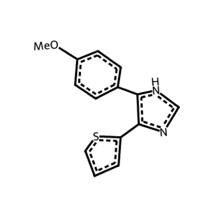 COc1ccc(-c2[nH]cnc2-c2cccs2)cc1